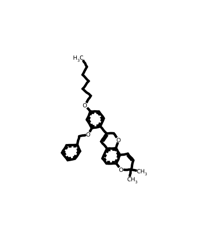 CCCCCCOc1ccc(C2=Cc3ccc4c(c3OC2)C=CC(C)(C)O4)c(OCc2ccccc2)c1